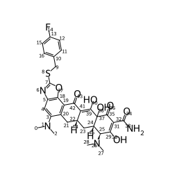 CN(C)c1cc2nc(SCc3ccc(F)cc3)oc2c2c1C[C@H]1C[C@H]3[C@H](N(C)C)C(O)=C(C(N)=O)C(=O)C3(O)C(O)=C1C2=O